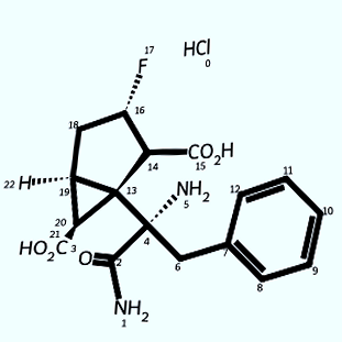 Cl.NC(=O)[C@](N)(Cc1ccccc1)[C@@]12C(C(=O)O)[C@@H](F)C[C@@H]1[C@@H]2C(=O)O